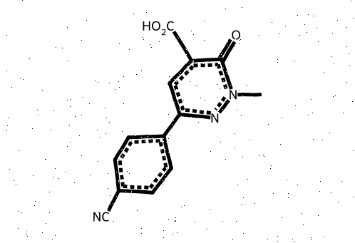 Cn1nc(-c2ccc(C#N)cc2)cc(C(=O)O)c1=O